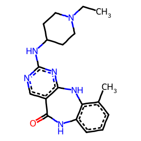 CCN1CCC(Nc2ncc3c(n2)Nc2c(C)cccc2NC3=O)CC1